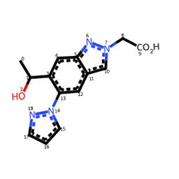 CC(O)c1cc2nn(CC(=O)O)cc2cc1-n1cccn1